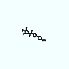 CCCC1CCC(c2ccc(/C(F)=C(\F)c3cc(F)c(F)c(F)c3)cc2)CC1